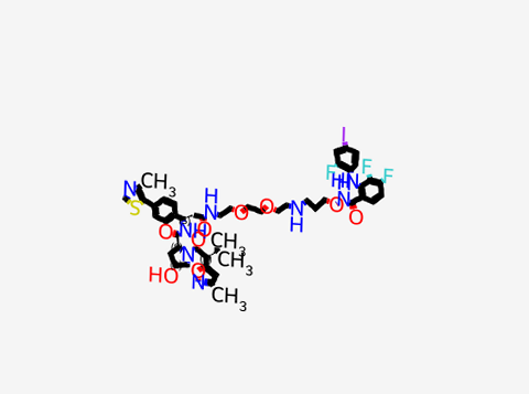 Cc1cc([C@H](C(=O)N2C[C@H](O)C[C@H]2C(=O)N[C@@H](CC(=O)NCCOCCOCCNCCCONC(=O)c2ccc(F)c(F)c2Nc2ccc(I)cc2F)c2ccc(-c3scnc3C)cc2)C(C)C)on1